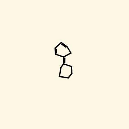 C1=CCC(=C2CCCCC2)C=C1